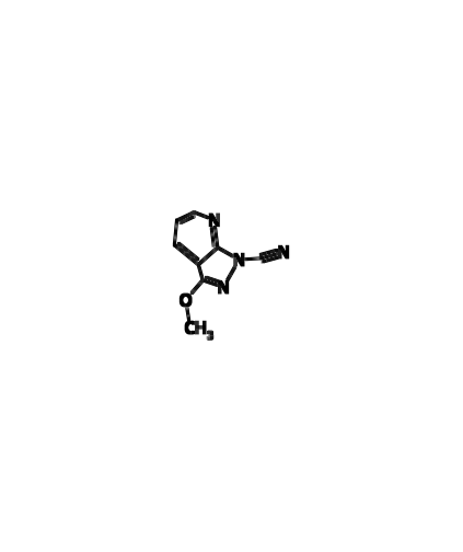 COc1nn(C#N)c2ncccc12